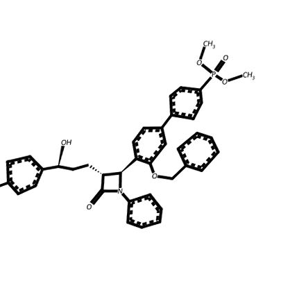 COP(=O)(OC)c1ccc(-c2ccc([C@@H]3[C@@H](CC[C@H](O)c4ccc(F)cc4)C(=O)N3c3ccccc3)c(OCc3ccccc3)c2)cc1